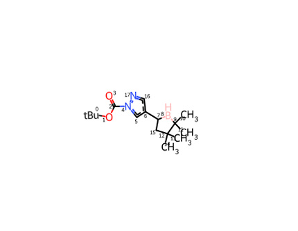 CC(C)(C)OC(=O)n1cc(C2BC(C)(C)C(C)(C)C2)cn1